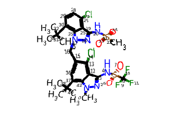 Cn1nc(NS(=O)(=O)C(F)(F)F)c2c(Cl)c(Cn3nc(NS(C)(=O)=O)c4c(Cl)ccc(C(C)(C)C)c43)cc(C(C)(C)C)c21